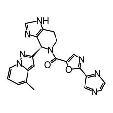 Cc1cccn2nc([C@H]3c4nc[nH]c4CCN3C(=O)c3cnc(-c4cnccn4)o3)cc12